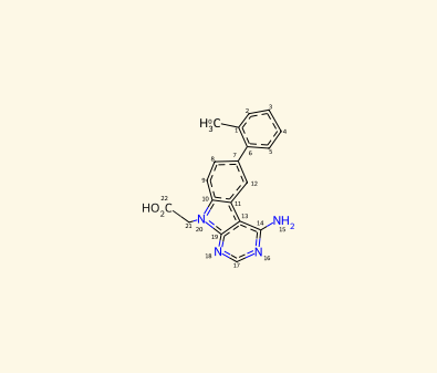 Cc1ccccc1-c1ccc2c(c1)c1c(N)ncnc1n2CC(=O)O